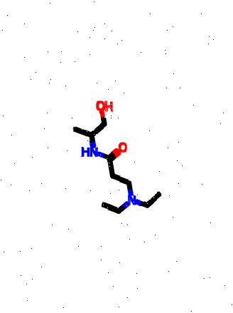 CCN(CC)CCC(=O)NC(C)CO